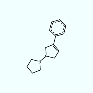 C1=C(c2ccccc2)CN(N2CCCC2)C1